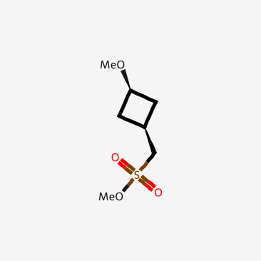 COS(=O)(=O)C[C@H]1C[C@@H](OC)C1